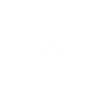 COCC[C@H]1CN(C2=Nc3cc(F)c(F)cc3Nc3sc(C)cc32)CCN1C